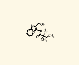 CCC(C)(C)C(=O)Nc1c(CO)nc2ccccn12